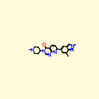 Cc1cc(-c2ccc3c(=O)n(C4CCN(C)CC4)cnc3n2)cc2cn(C)nc12